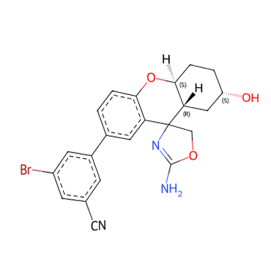 N#Cc1cc(Br)cc(-c2ccc3c(c2)C2(COC(N)=N2)[C@H]2C[C@@H](O)CC[C@@H]2O3)c1